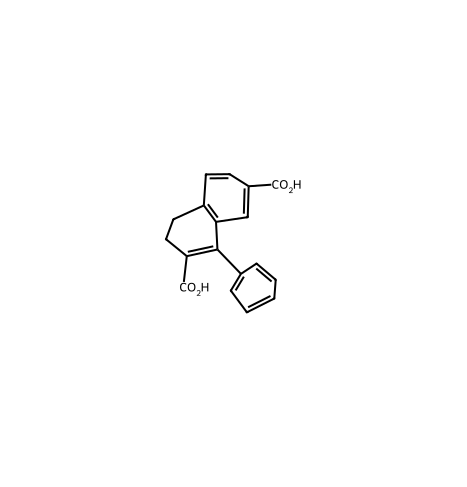 O=C(O)C1=C(c2ccccc2)c2cc(C(=O)O)ccc2CC1